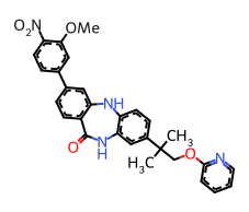 COc1cc(-c2ccc3c(c2)Nc2ccc(C(C)(C)COc4ccccn4)cc2NC3=O)ccc1[N+](=O)[O-]